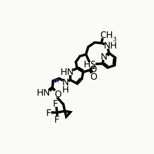 CC1CCC2CCC3=C(C=CC(N/C=C\C(=N)OCCC4(C(F)(F)F)CC4)N3)C(=O)[SH](=O)(C2)c2cccc(n2)N1